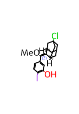 CO/C(=C1\[C@@H]2CC3C[C@H]1CC(Cl)(C3)C2)c1ccc(I)c(O)c1